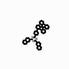 c1ccc2c(c1)-c1ccccc1C21c2ccccc2-c2c(-c3ccc(-c4nc(-c5ccc6ccccc6c5)nc(-c5ccc6ccccc6c5)n4)cc3)cccc21